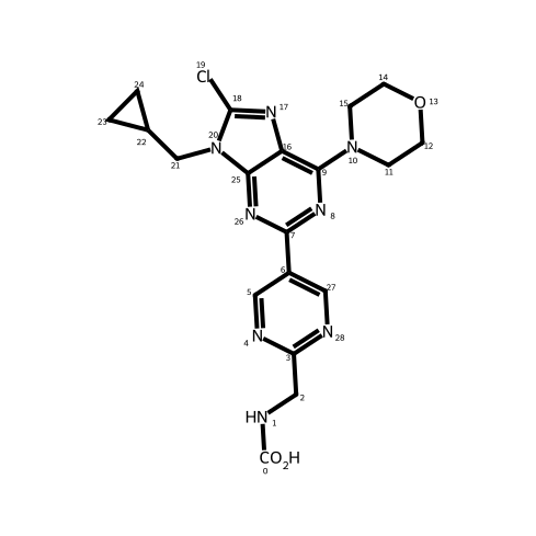 O=C(O)NCc1ncc(-c2nc(N3CCOCC3)c3nc(Cl)n(CC4CC4)c3n2)cn1